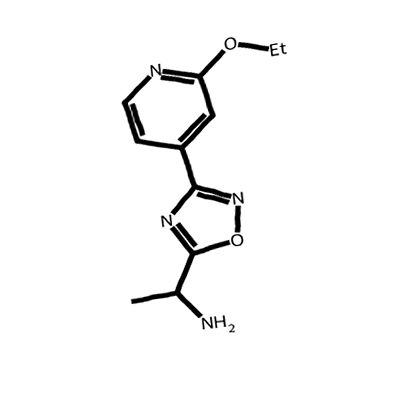 CCOc1cc(-c2noc(C(C)N)n2)ccn1